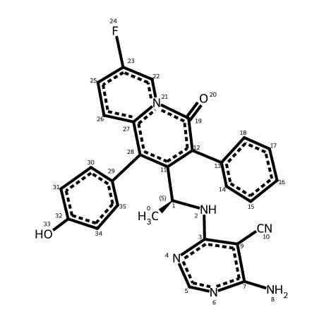 C[C@H](Nc1ncnc(N)c1C#N)c1c(-c2ccccc2)c(=O)n2cc(F)ccc2c1-c1ccc(O)cc1